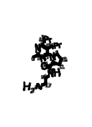 Cc1nc(C(C)C)c(C(C)C)c(N2CCCC2C(=O)NCCN)n1